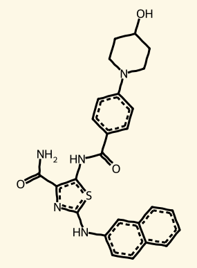 NC(=O)c1nc(Nc2ccc3ccccc3c2)sc1NC(=O)c1ccc(N2CCC(O)CC2)cc1